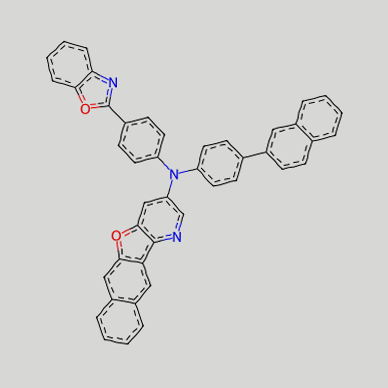 c1ccc2cc(-c3ccc(N(c4ccc(-c5nc6ccccc6o5)cc4)c4cnc5c(c4)oc4cc6ccccc6cc45)cc3)ccc2c1